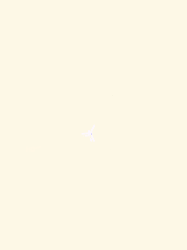 Oc1ccc2c([c]c(Cl)n2Cc2ccc(Cl)cc2Cl)c1